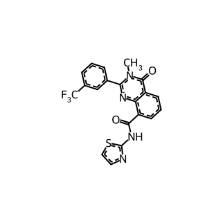 Cn1c(-c2cccc(C(F)(F)F)c2)nc2c(C(=O)Nc3nccs3)cccc2c1=O